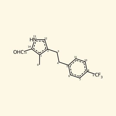 Cc1c(CCc2ccc(C(F)(F)F)cc2)c[nH]c1C=O